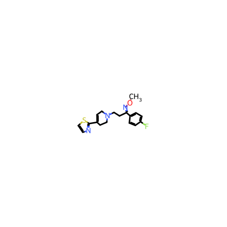 CON=C(CCN1CC=C(c2nccs2)CC1)c1ccc(F)cc1